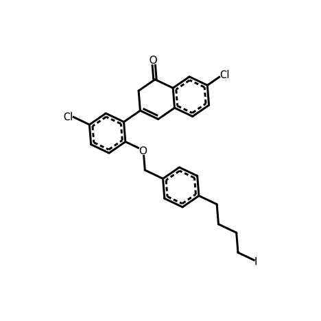 O=C1CC(c2cc(Cl)ccc2OCc2ccc(CCCCI)cc2)=Cc2ccc(Cl)cc21